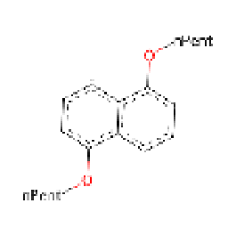 CCCCCOc1cccc2c(OCCCCC)cc[c]c12